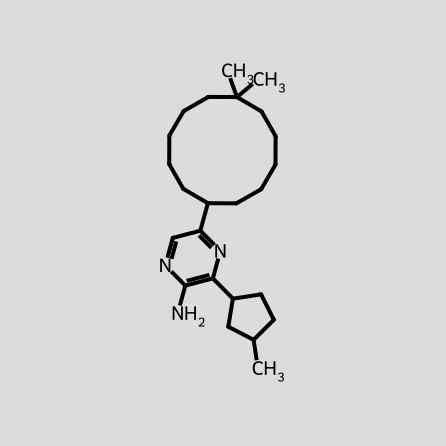 CC1CCC(c2nc(C3CCCCCC(C)(C)CCCCC3)cnc2N)C1